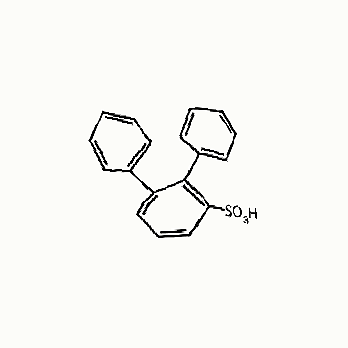 O=S(=O)(O)c1cccc(-c2ccccc2)c1-c1ccccc1